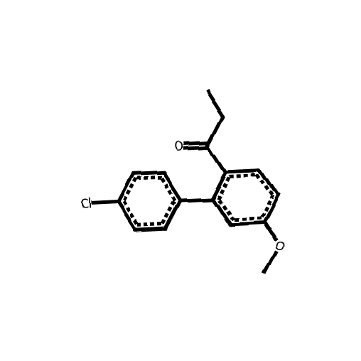 CCC(=O)c1ccc(OC)cc1-c1ccc(Cl)cc1